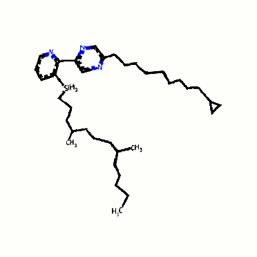 CCCCCC(C)CCCC(C)CCC[SiH2]c1cccnc1-c1cnc(CCCCCCCCCC2CC2)cn1